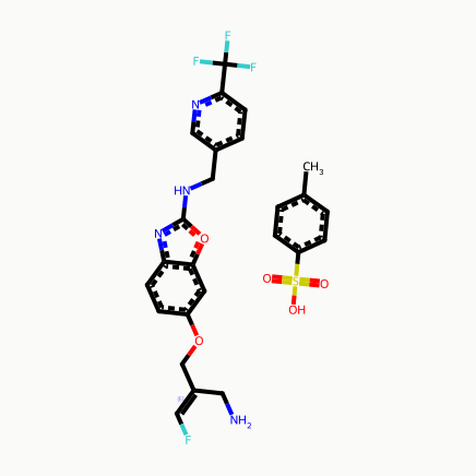 Cc1ccc(S(=O)(=O)O)cc1.NC/C(=C\F)COc1ccc2nc(NCc3ccc(C(F)(F)F)nc3)oc2c1